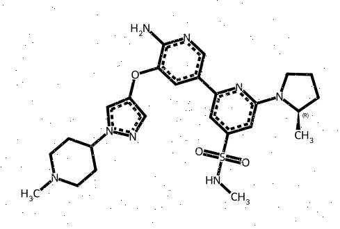 CNS(=O)(=O)c1cc(-c2cnc(N)c(Oc3cnn(C4CCN(C)CC4)c3)c2)nc(N2CCC[C@H]2C)c1